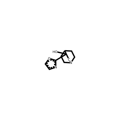 OC1(c2ncco2)CN2CCC1CC2